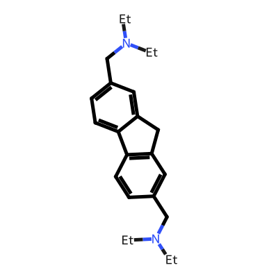 CCN(CC)Cc1ccc2c(c1)Cc1cc(CN(CC)CC)ccc1-2